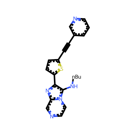 CCCCNc1c(-c2ccc(C#Cc3cccnc3)s2)nc2cnccn12